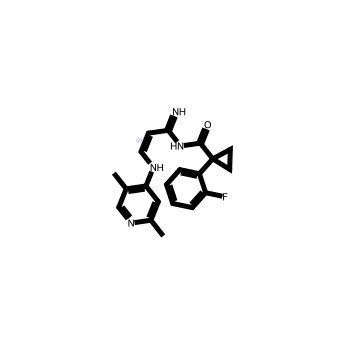 Cc1cc(N/C=C\C(=N)NC(=O)C2(c3ccccc3F)CC2)c(C)cn1